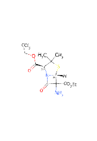 CCOC(=O)C1(N)C(=O)N2[C@@H](C(=O)OCC(Cl)(Cl)Cl)C(C)(C)S[C@@H]21